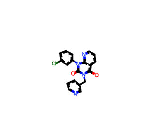 O=c1c2cccnc2n(-c2cccc(Cl)c2)c(=O)n1Cc1cccnc1